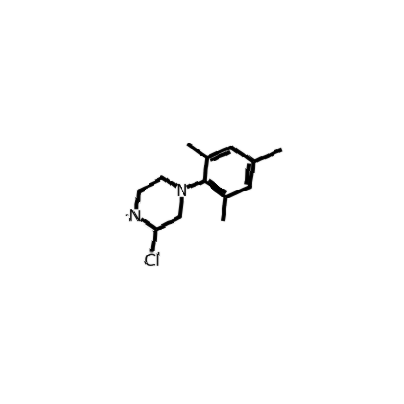 Cc1cc(C)c(N2CC[N]C(Cl)C2)c(C)c1